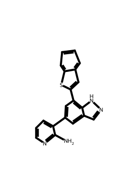 Nc1ncccc1-c1cc(-c2cc3ccccc3s2)c2[nH]ncc2c1